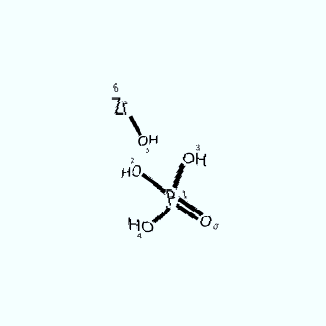 O=P(O)(O)O.[OH][Zr]